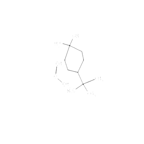 CC1(O)CCC(C(C)(C)C)CC1.COC